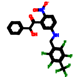 O=C(c1cc(NCc2c(F)c(F)c(C(F)(F)F)c(F)c2F)ccc1[N+](=O)[O-])C(O)c1ccccc1